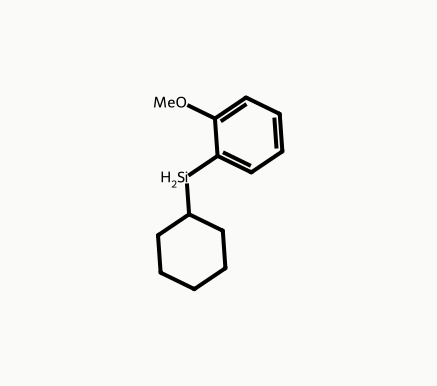 COc1ccccc1[SiH2]C1CCCCC1